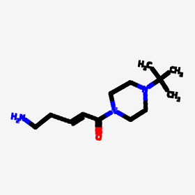 CC(C)(C)N1CCN(C(=O)/C=C/CCN)CC1